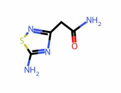 NC(=O)Cc1nsc(N)n1